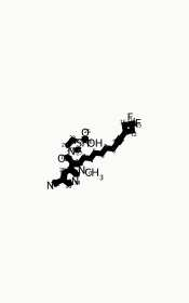 Cn1c(CCCCCCC#CC2CC(F)(F)C2)c(C(=O)N2CC[SH](C(=O)O)C2)c2cc(C#N)cnc21